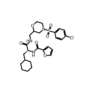 O=C(N[C@@H](CC1CCCCC1)C(=O)NCC1CN(S(=O)(=O)c2ccc(Cl)cc2)CCO1)c1ccco1